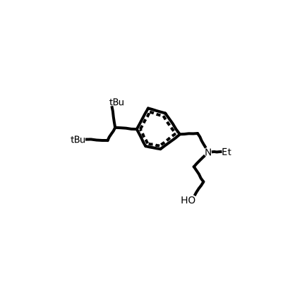 CCN(CCO)Cc1ccc(C(CC(C)(C)C)C(C)(C)C)cc1